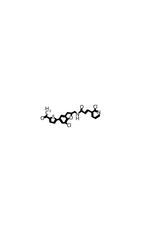 CC(=O)c1ccc(-c2cc(Cl)c3c(c2)CC(CNC(=O)C=Cc2cccnc2Cl)O3)s1